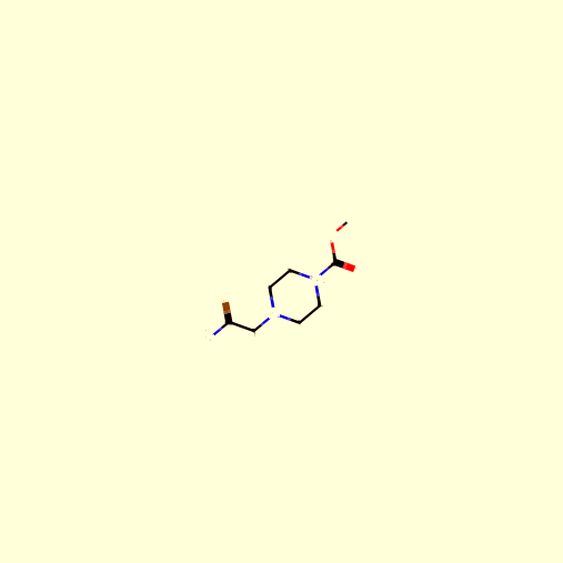 CC(C)(C)OC(=O)N1CCN(CC(N)=S)CC1